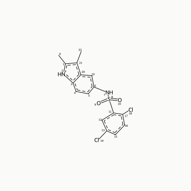 Cc1[nH]c2ccc(NS(=O)(=O)c3cc(Cl)ccc3Cl)cc2c1C